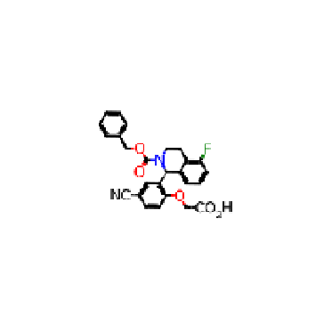 N#Cc1ccc(OCC(=O)O)c([C@@H]2c3cccc(F)c3CCN2C(=O)OCc2ccccc2)c1